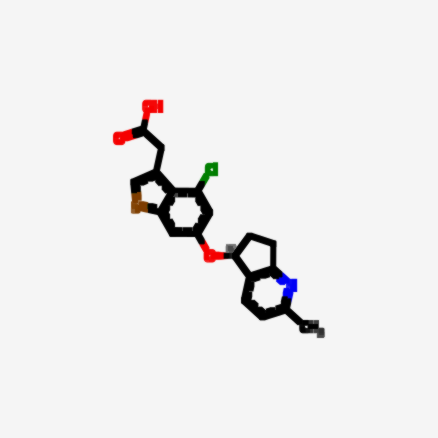 Cc1ccc2c(n1)CC[C@@H]2Oc1cc(Cl)c2c(CC(=O)O)csc2c1